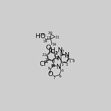 Cc1cc(N2CCCOC[C@H]2c2ccc(OCC3(CO)CC3)cc2Cl)nc(N)n1